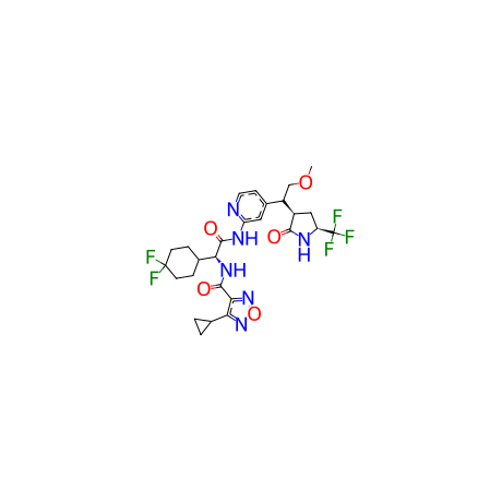 COCC(c1ccnc(NC(=O)[C@@H](NC(=O)c2nonc2C2CC2)C2CCC(F)(F)CC2)c1)[C@H]1C[C@@H](C(F)(F)F)NC1=O